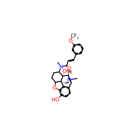 CN(C(=O)/C=C/c1cccc(OC(F)(F)F)c1)C1CCC2Oc3c(O)ccc4c3[C@@]23CCN(C)[C@H](C4)[C@]13O